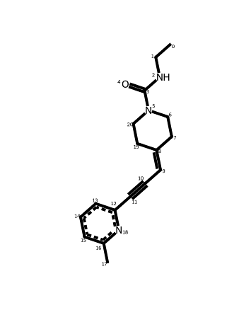 CCNC(=O)N1CCC(=CC#Cc2cccc(C)n2)CC1